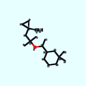 CC(OC(C)(C)CC1(C(=O)O)CC1)C1CCCC(C)(C)C1